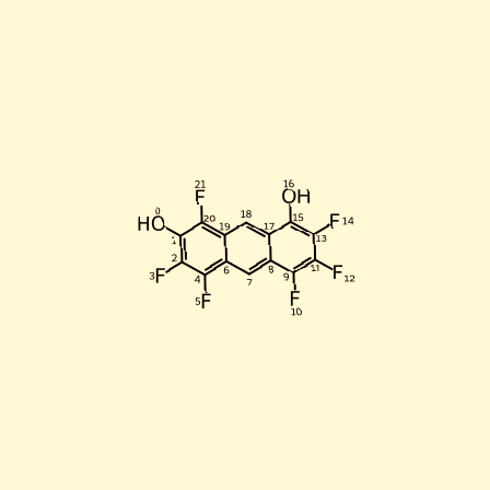 Oc1c(F)c(F)c2cc3c(F)c(F)c(F)c(O)c3cc2c1F